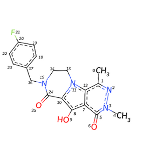 Cc1nn(C)c(=O)c2c(O)c3n(c12)CCN(Cc1ccc(F)cc1)C3=O